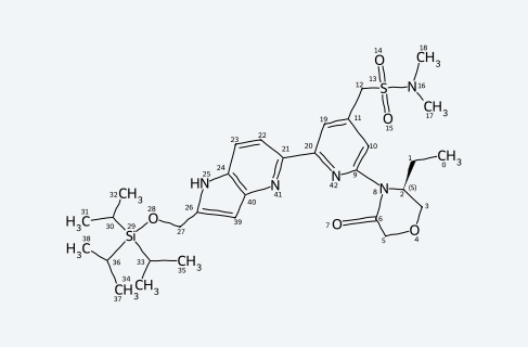 CC[C@H]1COCC(=O)N1c1cc(CS(=O)(=O)N(C)C)cc(-c2ccc3[nH]c(CO[Si](C(C)C)(C(C)C)C(C)C)cc3n2)n1